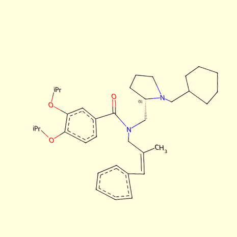 CC(=Cc1ccccc1)CN(C[C@@H]1CCCN1CC1CCCCC1)C(=O)c1ccc(OC(C)C)c(OC(C)C)c1